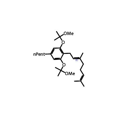 CCCCCc1cc(OC(C)(C)OC)c(C/C=C(\C)CCC=C(C)C)c(OC(C)(C)OC)c1